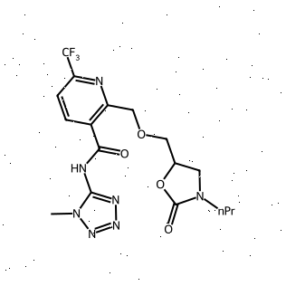 CCCN1CC(COCc2nc(C(F)(F)F)ccc2C(=O)Nc2nnnn2C)OC1=O